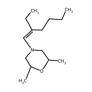 CCCCC(=CN1CC(C)OC(C)C1)CC